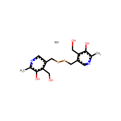 Cc1ncc(CSSCc2cnc(C)c(O)c2CO)c(CO)c1O.[KH]